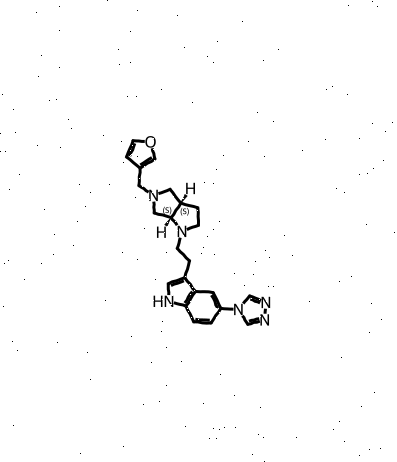 c1cc(CN2C[C@@H]3CCN(CCc4c[nH]c5ccc(-n6cnnc6)cc45)[C@@H]3C2)co1